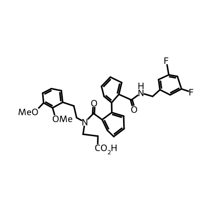 COc1cccc(CCN(CCC(=O)O)C(=O)c2ccccc2-c2ccccc2C(=O)NCc2cc(F)cc(F)c2)c1OC